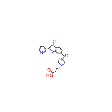 O=C(O)CCCN1CCN(C(=O)c2ccc3c(Cl)cc(-c4cccnc4)nc3c2)CC1